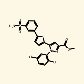 COC(=O)c1cc(-c2ccc(-c3cccc(S(N)(=O)=O)c3)s2)n(-c2cc(Cl)ccc2Cl)n1